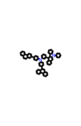 c1ccc(-n2c3ccccc3c3c(-c4cccc(N(c5ccc(-c6ccc7c(ccc8ccccc87)c6)cc5)c5ccc(-c6cc7ccccc7c7ccccc67)cc5)c4)c4ccccc4cc32)cc1